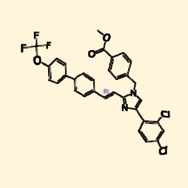 COC(=O)c1ccc(Cn2cc(-c3ccc(Cl)cc3Cl)nc2/C=C/c2ccc(-c3ccc(OC(F)(F)F)cc3)cc2)cc1